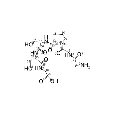 NCC(=O)NCC(=O)N1CCC[C@H]1C(=O)N[C@@H](CO)C(=O)N[C@@H](CO)C(=O)NCC(=O)O